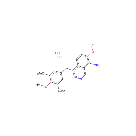 CCCOc1c(OC)cc(Cc2cncc3c(N)c(OCC)ccc23)cc1OC.Cl.Cl